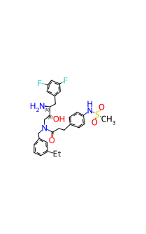 CCc1cccc(CN(C[C@@H](O)[C@@H](N)Cc2cc(F)cc(F)c2)C(=O)CCc2ccc(NS(C)(=O)=O)cc2)c1